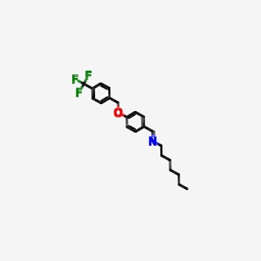 CCCCCCC/N=C/c1ccc(OCc2ccc(C(F)(F)F)cc2)cc1